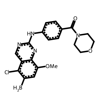 Bc1cc(OC)c2nc(Nc3ccc(C(=O)N4CCOCC4)cc3)ncc2c1Cl